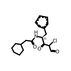 O=CC(Cl)C(=O)[C@H](Cc1ccccc1)NC(=O)CC1CCCCC1